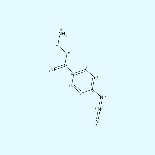 [N-]=[N+]=Nc1ccc(C(=O)CCN)cc1